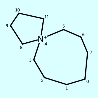 C1CCC[N+]2(CCC1)CCCC2